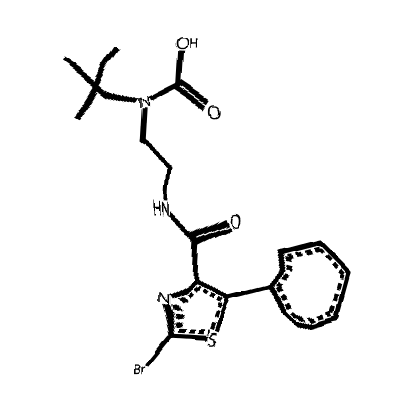 CC(C)(C)N(CCNC(=O)c1nc(Br)sc1-c1ccccc1)C(=O)O